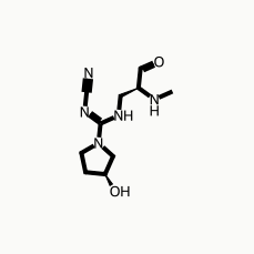 CN[C@H](C=O)CN/C(=N\C#N)N1CC[C@H](O)C1